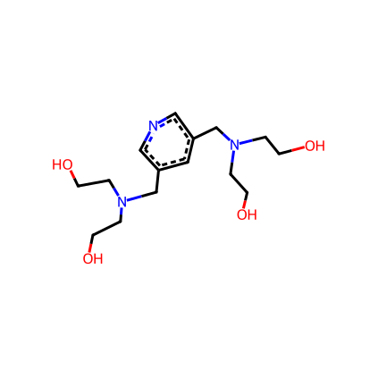 OCCN(CCO)Cc1cncc(CN(CCO)CCO)c1